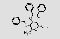 CC1O[C@@H](C)[C@@H](OCc2ccccc2)[C@@H](OCc2ccccc2)[C@@H]1OCc1ccccc1